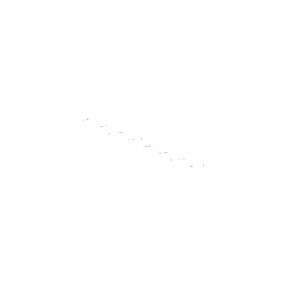 COCCOCCOCOCCOCCOC